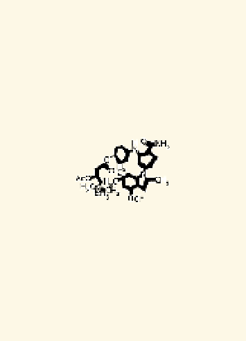 CC(=O)OC(CC(=O)O[C@H]1CC[C@H](Nc2cc(-n3c(C)cc4c3CC(C)(C)CC4=O)ccc2C(N)=O)CC1)C[N+](C)(C)C.[Cl-]